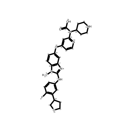 Cn1c(Nc2ccc(F)c(C3CCOC3)c2)nc2cc(Oc3ccnc(N(C(=O)O)C4CCNCC4)c3)ccc21